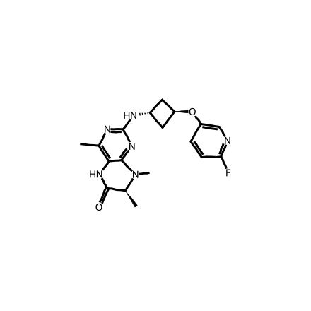 Cc1nc(N[C@H]2C[C@H](Oc3ccc(F)nc3)C2)nc2c1NC(=O)[C@H](C)N2C